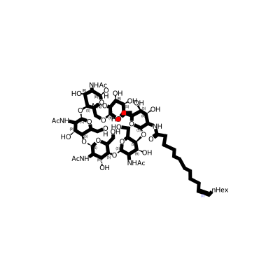 CCCCCC/C=C\CCCCCCCCCC(=O)NC1[C@H](O[C@@H]2C(CO)O[C@@H](O[C@@H]3C(CO)O[C@@H](O[C@@H]4C(CO)O[C@@H](O[C@@H]5C(CO[C@@H]6OC(C)[C@@H](O)[C@@H](O)C6OC)O[C@@H](O)C(NC(C)=O)[C@H]5O)C(NC(C)=O)[C@H]4O)C(NC(C)=O)[C@H]3O)C(NC(C)=O)[C@H]2O)OC(CO)[C@@H](O)[C@@H]1O